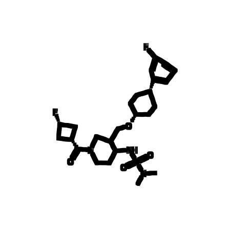 CN(C)S(=O)(=O)NC1CCN(C(=O)[C@H]2C[C@@H](F)C2)CC1CO[C@H]1CC[C@@H](c2cccc(F)c2)CC1